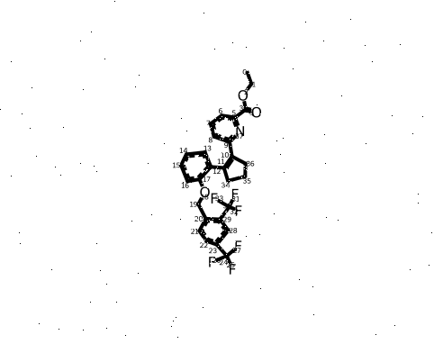 CCOC(=O)c1cccc(C2=C(c3ccccc3OCc3ccc(C(F)(F)F)cc3C(F)(F)F)CCC2)n1